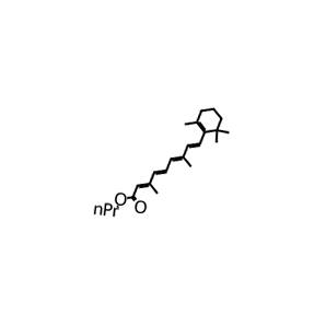 CCCOC(=O)/C=C(C)/C=C/C=C(C)/C=C/C1=C(C)CCCC1(C)C